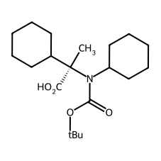 CC(C)(C)OC(=O)N(C1CCCCC1)[C@@](C)(C(=O)O)C1CCCCC1